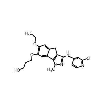 CCOc1cc2c(cc1OCCCO)-c1c(c(Nc3ccnc(Cl)c3)nn1C)C2